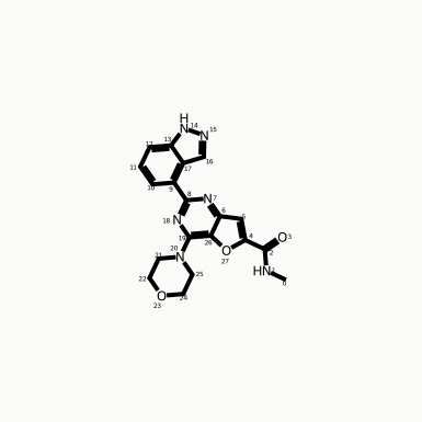 CNC(=O)c1cc2nc(-c3cccc4[nH]ncc34)nc(N3CCOCC3)c2o1